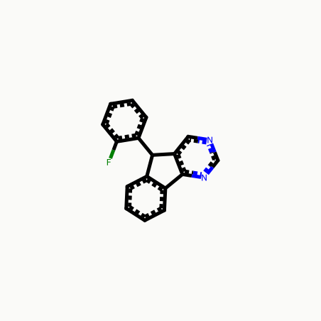 Fc1ccccc1C1c2ccccc2-c2ncncc21